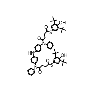 CC(C)(C)c1cc(SC(=O)CCC(=O)N(c2ccccc2)c2ccc(Nc3ccc(N(C(=O)CCC(=O)Sc4cc(C(C)(C)C)c(O)c(C(C)(C)C)c4)c4ccccc4)cc3)cc2)cc(C(C)(C)C)c1O